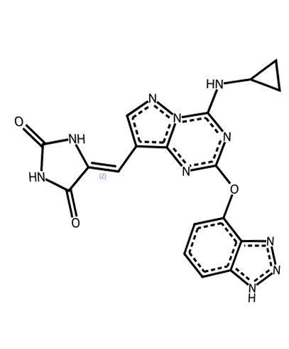 O=C1NC(=O)/C(=C/c2cnn3c(NC4CC4)nc(Oc4cccc5[nH]nnc45)nc23)N1